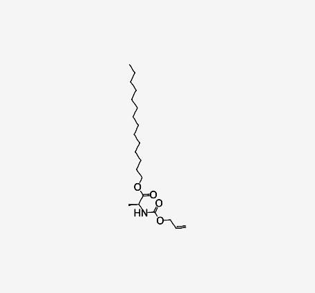 C=CCOC(=O)N[C@@H](C)C(=O)OCCCCCCCCCCCCCC